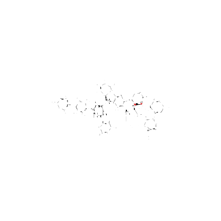 CC1(C)CC(C)(C)c2cc(-c3ccccc3C3C=CC(Nc4cc5c(cc4-c4ccccc4)c4ccccc4n5-c4nc(-c5ccccc5)nc(-c5ccc(-c6ccccc6)cc5)n4)=CC3)ccc21